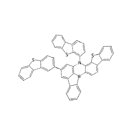 c1ccc2c(c1)B1c3ccc4c(sc5ccccc54)c3N(c3cccc4c3sc3ccccc34)c3cc(-c4ccc5sc6ccccc6c5c4)cc-2c31